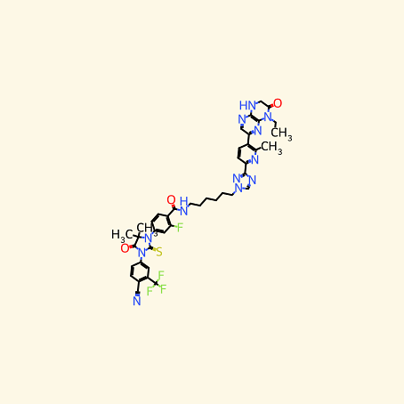 CCN1C(=O)CNc2ncc(-c3ccc(-c4ncn(CCCCCCNC(=O)c5ccc(N6C(=S)N(c7ccc(C#N)c(C(F)(F)F)c7)C(=O)C6(C)C)cc5F)n4)nc3C)nc21